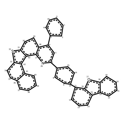 c1ccc(-c2cc(-c3ccc(-c4cccc5c4oc4ccccc45)cc3)nc3c2ccc2sc4ccc5ccccc5c4c23)cc1